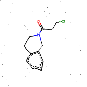 O=C(CCCl)N1CCc2ccccc2C1